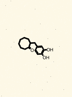 O=C1CCCCCCC1Cc1ccc(O)c(O)c1